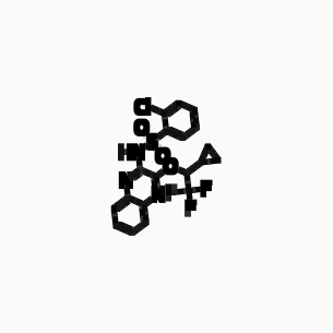 O=S(=O)(Nc1nc2ccccc2nc1OC(C1CC1)C(F)(F)F)c1ccccc1Cl